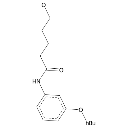 CCCCOc1cccc(NC(=O)CCCC[O])c1